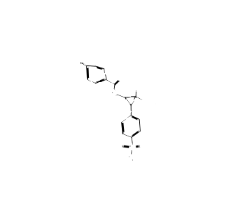 CC1(C)C(NC(=O)c2ccc(Cl)cc2)C1c1ccc(S(N)(=O)=O)cc1